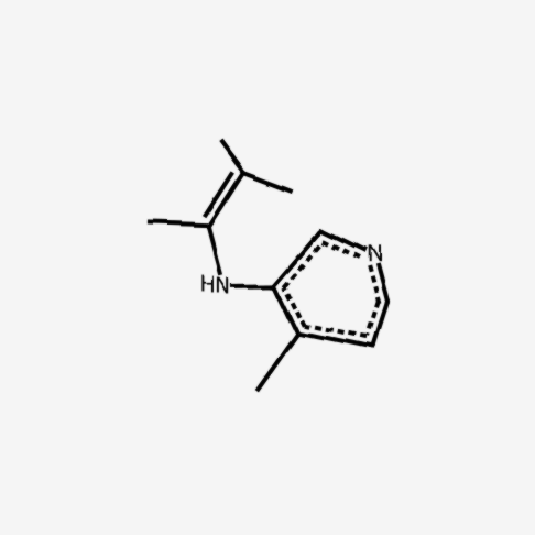 CC(C)=C(C)Nc1cnccc1C